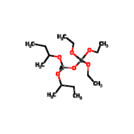 CCO[Si](OCC)(OCC)[O][Al]([O]C(C)CC)[O]C(C)CC